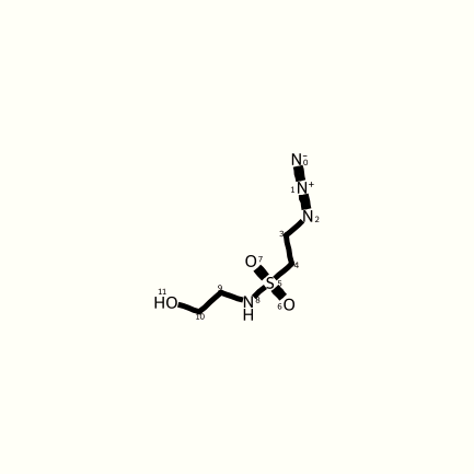 [N-]=[N+]=NCCS(=O)(=O)NCCO